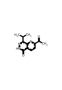 CC(=O)c1ccc2c(=O)[nH]nc(C(C)C)c2n1